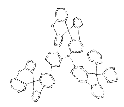 c1ccc(C2(c3ccccc3)c3ccccc3-c3ccc(N(c4cccc(-c5ccc6c(c5)C5(c7ccccc7Oc7ccccc75)c5ccccc5-6)c4)c4ccc5c(c4)C4(c6ccccc6Oc6ccccc64)c4ccccc4-5)cc32)cc1